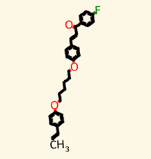 CC=Cc1ccc(OCCCCCCOc2ccc(/C=C/C(=O)c3ccc(F)cc3)cc2)cc1